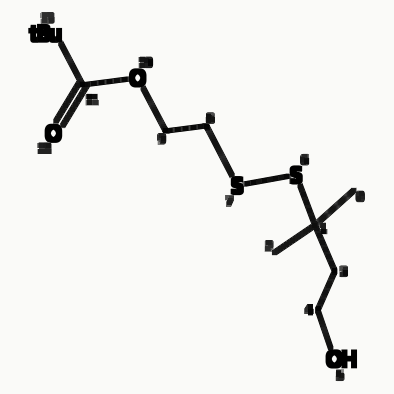 CC(C)(CCO)SSCCOC(=O)C(C)(C)C